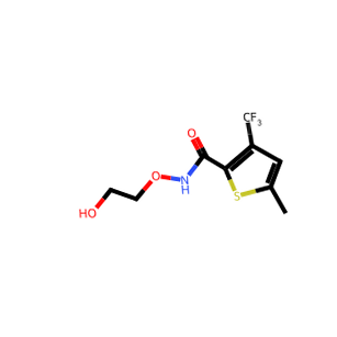 Cc1cc(C(F)(F)F)c(C(=O)NOCCO)s1